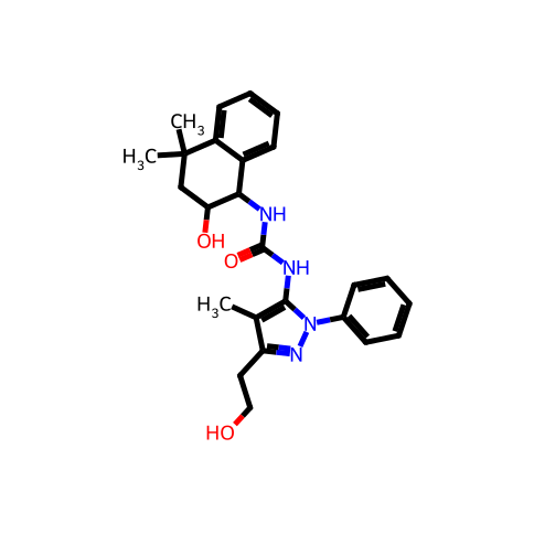 Cc1c(CCO)nn(-c2ccccc2)c1NC(=O)NC1c2ccccc2C(C)(C)CC1O